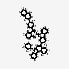 c1ccc(-n2c3ccccc3c3c4ccccc4c(-c4ccc5c6ccccc6n(-c6nc(-c7ccc(-c8ccc9ccccc9c8)cc7)c7ccccc7n6)c5c4)cc32)cc1